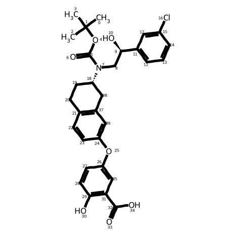 CC(C)(C)OC(=O)N(C[C@@H](O)c1cccc(Cl)c1)[C@H]1CCc2ccc(Oc3ccc(O)c(C(=O)O)c3)cc2C1